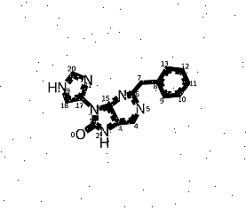 O=c1[nH]c2cnc(Cc3ccccc3)nc2n1-c1c[nH]cn1